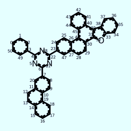 c1ccc(-c2nc(-c3ccc4c(ccc5ccccc54)c3)nc(-c3ccc4c(ccc5c6oc7ccccc7c6c6ccccc6c45)c3)n2)cc1